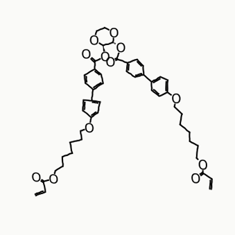 C=CC(=O)OCCCCCCCOc1ccc(-c2ccc(C(=O)O[C@H]3OCCO[C@@H]3OC(=O)c3ccc(-c4ccc(OCCCCCCCOC(=O)C=C)cc4)cc3)cc2)cc1